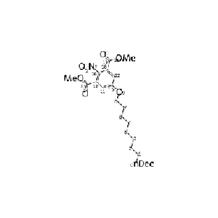 CCCCCCCCCCCCCCCCCCOc1cc(C(=O)OC)c([N+](=O)[O-])c(C(=O)OC)c1